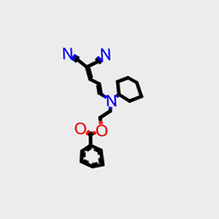 N#CC(C#N)=C/C=C/N(CCOC(=O)c1ccccc1)C1CCCCC1